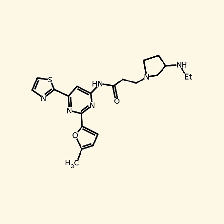 CCNC1CCN(CCC(=O)Nc2cc(-c3nccs3)nc(-c3ccc(C)o3)n2)C1